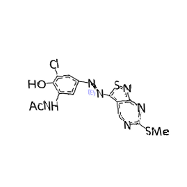 CSc1ncc2c(/N=N/c3cc(Cl)c(O)c(NC(C)=O)c3)snc2n1